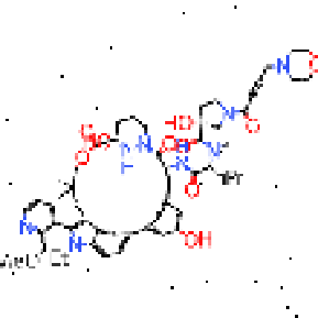 CCn1c(-c2cccnc2COC)c2c3cc(ccc31)-c1cc(O)cc(c1)C[C@H](NC(=O)[C@H](C(C)C)N(C)C(=O)[C@@]1(O)CCN(C(=O)C#CCN3CCOCC3)C1)C(=O)N1CCC[C@@](O)(N1)C(=O)OCC(C)(C)C2